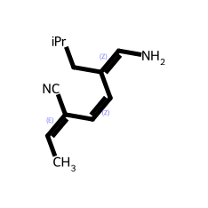 C\C=C(C#N)/C=C\C(=C/N)CC(C)C